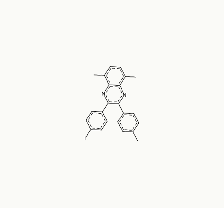 Cc1ccc(-c2nc3c(C)ccc(C)c3nc2-c2ccc(I)cc2)cc1